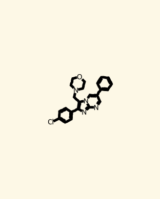 Clc1ccc(-c2nc3ncc(-c4ccccc4)cn3c2CN2CCOCC2)cc1